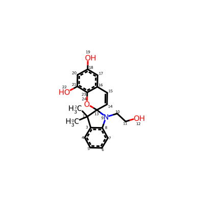 CC1(C)c2ccccc2N(CCO)C12C=Cc1cc(O)cc(O)c1O2